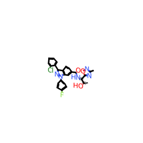 Cc1noc([C@@H](NC(=O)c2ccc3c(-c4ccccc4Cl)nn(-c4ccc(F)cc4)c3c2)[C@@H](C)O)n1